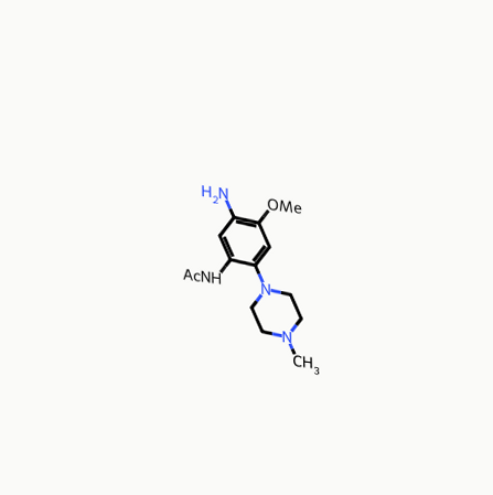 COc1cc(N2CCN(C)CC2)c(NC(C)=O)cc1N